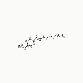 CCCCCCOCC1CCC(CBr)CC1